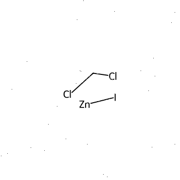 ClCCl.[Zn][I]